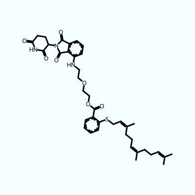 CC(C)=CCCC(C)=CCCC(C)=CCSc1ccccc1C(=O)OCCOCCNc1cccc2c1C(=O)N(C1CCC(=O)NC1=O)C2=O